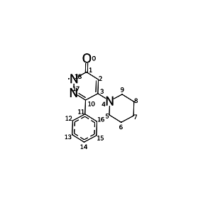 O=C1C=C(N2CCCCC2)C(c2ccccc2)=N[N]1